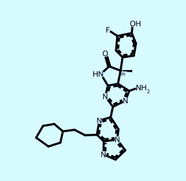 C[C@]1(c2ccc(O)c(F)c2)C(=O)Nc2nc(-c3cn4ccnc4c(CCC4CCCCC4)n3)nc(N)c21